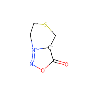 O=c1on[n+]2[c-]1CSCC2